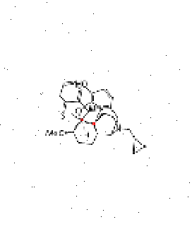 CO[C@]12CCC3(CC1(C)[C@H](O)C1=CC=CCC1=S)C1Cc4ccc(O)c5c4[C@@]3(CCN1CC1CC1)[C@@H]2O5